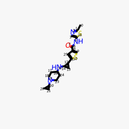 Cc1ncc(NC(=O)c2csc(C3CC3NC3CCN(C4CC4)CC3)c2)s1